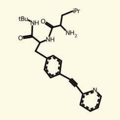 CC(C)CC(N)C(=O)NC(Cc1ccc(C#Cc2ccccn2)cc1)C(=O)NC(C)(C)C